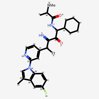 CCC(C(=N)C(=O)C(NC(=O)C(C)NC)C1CCCCC1)c1ccnc(-n2cc(C)c3cc(F)ccc32)c1